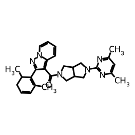 CC1=C(c2nn3ccccc3c2C(=O)N2CC3CN(c4nc(C)cc(C)n4)CC3C2)C(C)CC=C1